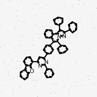 c1ccc(-c2nc(-c3ccc(-c4c(-c5ccccc5)n5nc(-c6ccccc6)c(-c6ccccc6)c5c5ccccc45)cc3)cc(-c3cccc4c3oc3ccccc34)n2)cc1